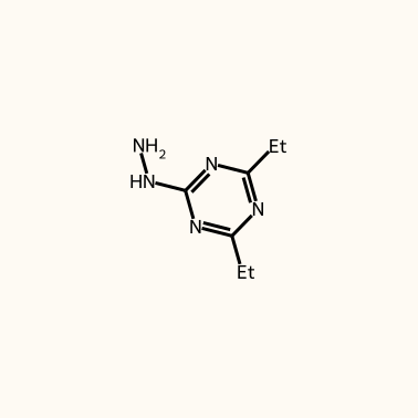 CCc1nc(CC)nc(NN)n1